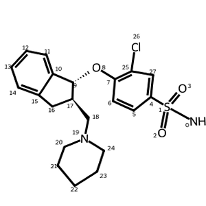 NS(=O)(=O)c1ccc(O[C@H]2c3ccccc3C[C@@H]2CN2CCCCC2)c(Cl)c1